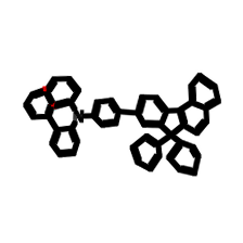 c1ccc(-c2ccccc2N(c2ccccc2)c2ccc(-c3ccc4c(c3)C(c3ccccc3)(c3ccccc3)c3ccc5ccccc5c3-4)cc2)cc1